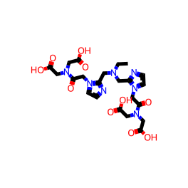 CCN(Cc1nccn1CC(=O)N(CC(=O)O)CC(=O)O)Cc1nccn1CC(=O)N(CC(=O)O)CC(=O)O